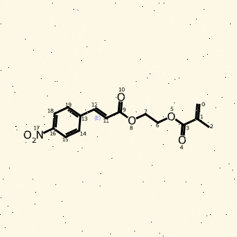 C=C(C)C(=O)OCCOC(=O)/C=C/c1ccc([N+](=O)[O-])cc1